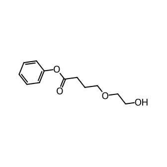 O=C(CCCOCCO)Oc1ccccc1